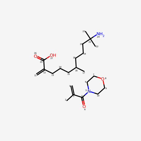 C=C(C)C(=O)N1CCOCC1.C=C(CCCC(C)CCCC(C)(C)N)C(=O)O